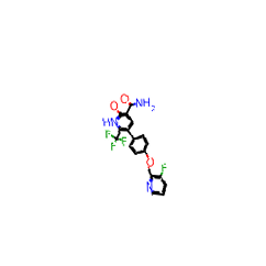 NC(=O)c1cc(-c2ccc(OCc3ncccc3F)cc2)c(C(F)(F)F)[nH]c1=O